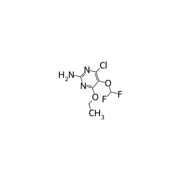 CCOc1nc(N)nc(Cl)c1OC(F)F